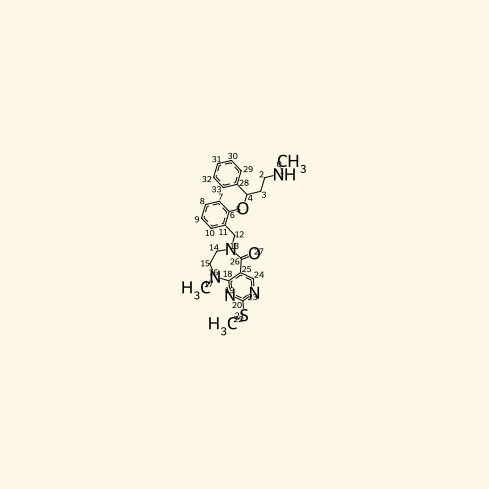 CNCCC(Oc1ccccc1CN1CCN(C)c2nc(SC)ncc2C1=O)c1ccccc1